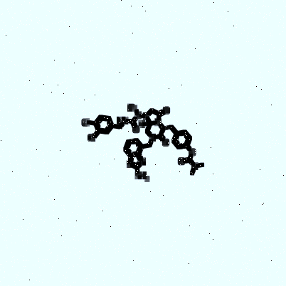 CC(C)N(C(=O)NCc1ccc(Cl)c(Cl)c1)N1CC(=O)N2[C@@H](Cc3ccc(OC(=O)N(C)C)cc3)C(=O)N(Cc3cccc4sc(N)nc34)C[C@@H]21